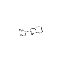 CN(C=O)c1nc2ccccc2s1